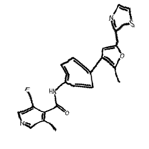 Cc1cncc(F)c1C(=O)Nc1ccc(-c2cc(-c3nccs3)oc2C)cc1